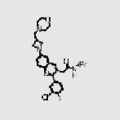 CC(C)NC(=O)Cc1cc2cc(N3CC(CN4CCOCC4)C3)ccc2nc1-c1ccc(F)c(Cl)c1